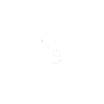 CC#CC(=O)N1CCc2ccc(C(=O)NO)cc2C1